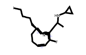 C\C1=c2/c(c(C(C)NC3CC3)cn2CCCCI)=C(F)\C=C/CC1